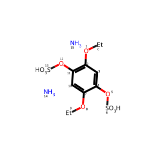 CCOc1cc(OS(=O)(=O)O)c(OCC)cc1OS(=O)(=O)O.N.N